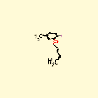 C=CCCCOc1cc(C(F)(F)F)ccc1I